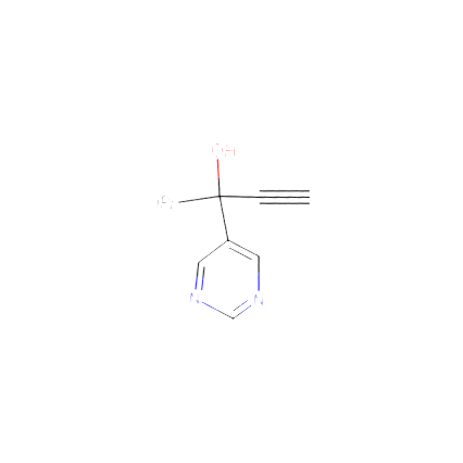 C#CC(O)(c1cncnc1)C(C)C